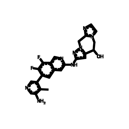 Cc1c(N)cncc1-c1cc2cc(Nc3cc4n(n3)Cc3nccn3CC4O)ncc2c(F)c1F